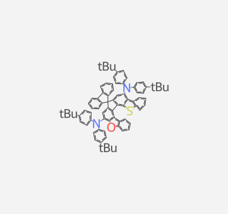 CC(C)(C)c1ccc(N(c2ccc(C(C)(C)C)cc2)c2cc3c(c4c2oc2ccccc24)-c2c(cc(N(c4ccc(C(C)(C)C)cc4)c4ccc(C(C)(C)C)cc4)c4c2sc2ccccc24)C32c3ccccc3-c3ccccc32)cc1